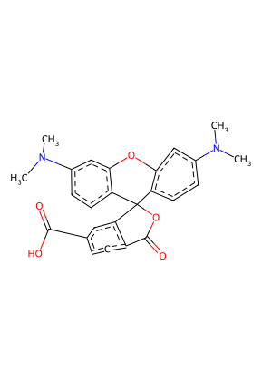 CN(C)c1ccc2c(c1)Oc1cc(N(C)C)ccc1C21OC(=O)c2ccc(C(=O)O)cc21